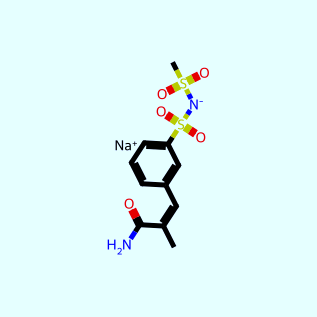 CC(=Cc1cccc(S(=O)(=O)[N-]S(C)(=O)=O)c1)C(N)=O.[Na+]